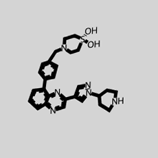 OS1(O)CCN(Cc2ccc(-c3cccc4ncc(-c5cnn(C6CCNCC6)c5)nc34)cc2)CC1